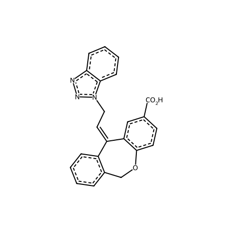 O=C(O)c1ccc2c(c1)C(=CCn1nnc3ccccc31)c1ccccc1CO2